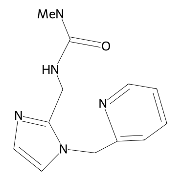 CNC(=O)NCc1nccn1Cc1ccccn1